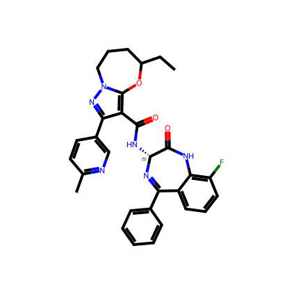 CCC1CCCn2nc(-c3ccc(C)nc3)c(C(=O)N[C@H]3N=C(c4ccccc4)c4cccc(F)c4NC3=O)c2O1